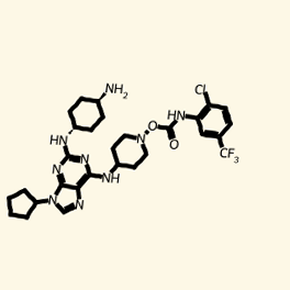 N[C@H]1CC[C@H](Nc2nc(NC3CCN(OC(=O)Nc4cc(C(F)(F)F)ccc4Cl)CC3)c3ncn(C4CCCC4)c3n2)CC1